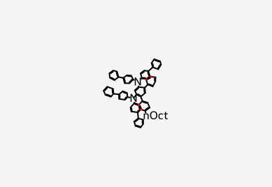 CCCCCCCCc1ccc(-c2cc(-c3ccccc3)c(N(c3ccc(-c4ccccc4)cc3)c3ccc(-c4ccccc4)cc3)cc2N(c2ccc(-c3ccccc3)cc2)c2ccc(-c3ccccc3)cc2)cc1